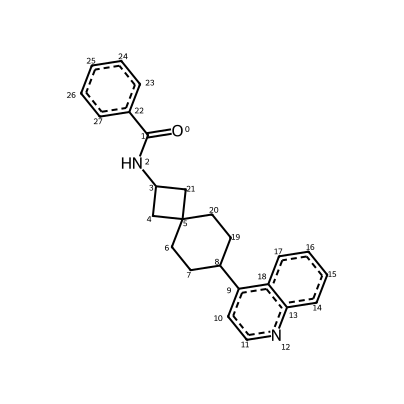 O=C(NC1CC2(CCC(c3ccnc4ccccc34)CC2)C1)c1ccccc1